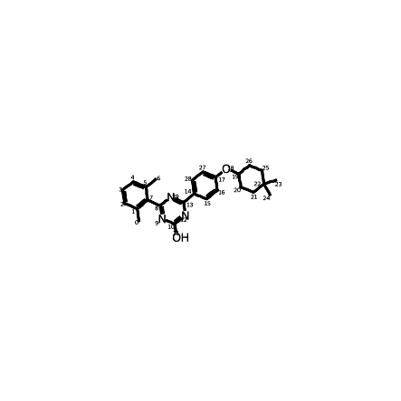 Cc1cccc(C)c1-c1nc(O)nc(-c2ccc(OC3CCC(C)(C)CC3)cc2)n1